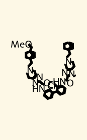 COCC12CCC(CCN3CCc4c(nc(C(=O)Nc5cccc(-c6cccc(NC(=O)c7nc8c(n7C)CCN(CCC79CCC(CC7)C9)C8)c6Cl)c5C#N)n4C)C3)(CC1)C2